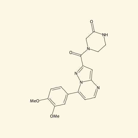 COc1ccc(-c2ccnc3cc(C(=O)N4CCNC(=O)C4)nn23)cc1OC